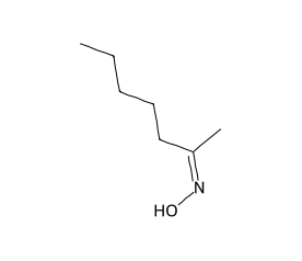 CCCCC/C(C)=N\O